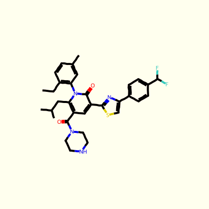 CCc1ccc(C)cc1-n1c(CC(C)C)c(C(=O)N2CCNCC2)cc(-c2nc(-c3ccc(C(F)F)cc3)cs2)c1=O